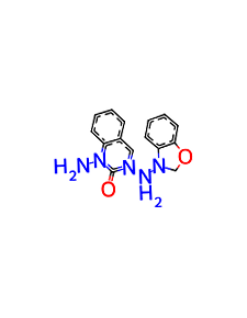 NN1COc2ccccc21.Nn1c(=O)ncc2ccccc21